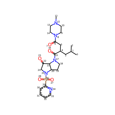 CC(C)CC(CC(=O)N1CCN(C)CC1)C(=O)N1CCC2C1C(=O)CN2S(=O)(=O)c1ccccn1